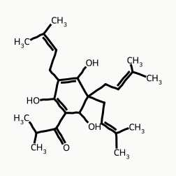 CC(C)=CCC1=C(O)C(CC=C(C)C)(CC=C(C)C)C(O)C(C(=O)C(C)C)=C1O